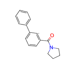 O=C(c1[c]c(-c2ccccc2)ccc1)N1CCCC1